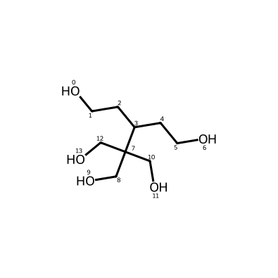 OCCC(CCO)C(CO)(CO)CO